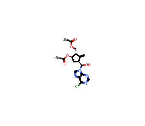 C=C1[C@@H](COC(=O)C(C)(C)C)[C@@H](OC(=O)C(C)(C)C)C[C@@H]1C(O)n1cnc2c(Cl)ncnc21